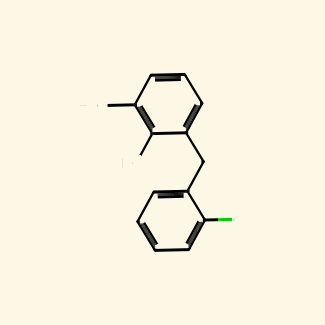 Cc1cccc(Cc2ccccc2Cl)c1C